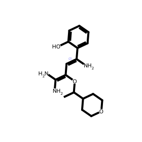 CC(OC(/C=C(\N)c1ccccc1O)=C(N)N)C1CCOCC1